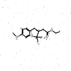 CCOC(=O)CC(Cc1ccc(OC)cc1)C(F)(F)F